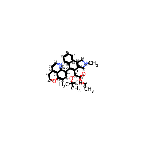 CCOC(=O)[C@@H](OC(C)(C)C)c1c2c(c3ccccc3c1-c1ccc3c4c(ccnc14)CCO3)CN(C)C2